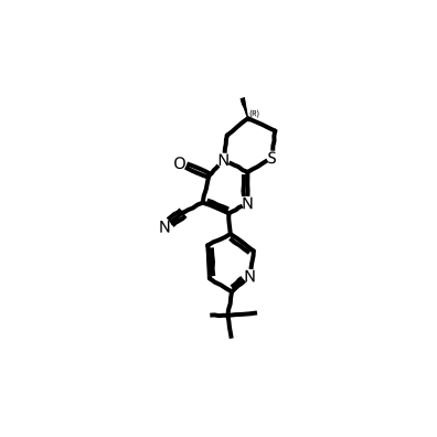 C[C@H]1CSc2nc(-c3ccc(C(C)(C)C)nc3)c(C#N)c(=O)n2C1